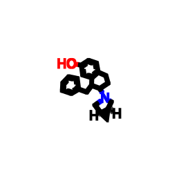 Oc1ccc2c(c1)C(Cc1ccccc1)C(N1C[C@H]3C[C@H]3C1)CC2